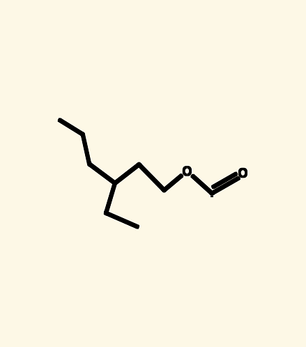 CCCC(CC)CCO[C]=O